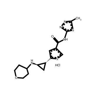 Cc1nnc(NC(=O)c2csc([C@@H]3C[C@H]3NC3CCOCC3)c2)s1.Cl